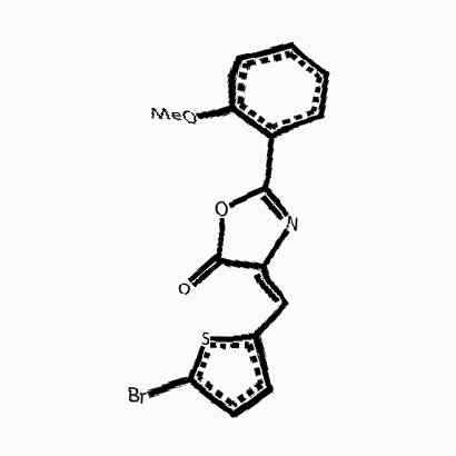 COc1ccccc1C1=NC(=Cc2ccc(Br)s2)C(=O)O1